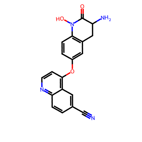 N#Cc1ccc2nccc(Oc3ccc4c(c3)CC(N)C(=O)N4O)c2c1